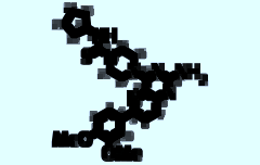 COc1ccc(-c2ccc3nc(N)nc(N4CCN(C(=S)NC5CCCC5)CC4)c3n2)cc1OC